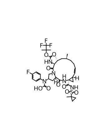 C[C@H]1CC/C=C\[C@@H]2C[C@@]2(C(=O)NS(=O)(=O)C2(C)CC2)NC(=O)[C@@H]2C[C@@H](N(C(=O)O)c3ccc(F)cc3)CN2C(=O)[C@@H](NC(=O)OC(C)(C)C(F)(F)F)[C@H](C)C1